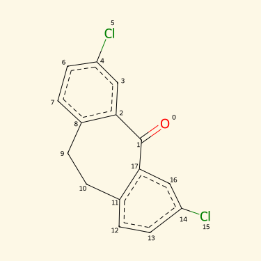 O=C1c2cc(Cl)ccc2CCc2ccc(Cl)cc21